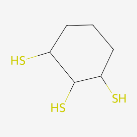 SC1CCCC(S)C1S